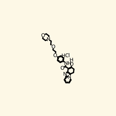 Cl.O=C(Nc1ccc(OCCOCCN2CCOCC2)cc1)C1=C(O)CCc2c1nc1ccccn21